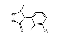 Cc1c(N2C(=O)NNN2C)cccc1C(F)(F)F